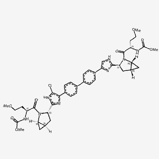 COCC[C@H](NC(=O)OC)C(=O)N1[C@@H]2C[C@@H]2C[C@H]1c1nc(-c2ccc(-c3ccc(-c4nc([C@@H]5C[C@H]6C[C@H]6N5C(=O)[C@H](CCOC)NC(=O)OC)[nH]c4Cl)cc3)cc2)c[nH]1